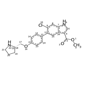 COC(=O)c1c[nH]c2cc(Cl)c(-c3ccc(OC[C@@H]4CCCN4)cc3)cc12